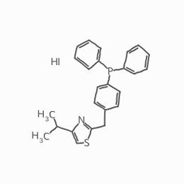 CC(C)c1csc(Cc2ccc(P(c3ccccc3)c3ccccc3)cc2)n1.I